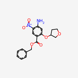 Nc1cc(OC2CCOC2)c(C(=O)OCc2ccccc2)cc1[N+](=O)[O-]